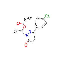 CCC(CN1N=C(c2ccc(Cl)cc2)CCC1=O)OC(=O)NC